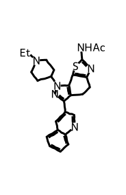 CCN1CCC(n2nc(-c3cnc4ccccc4c3)c3c2-c2sc(NC(C)=O)nc2CC3)CC1